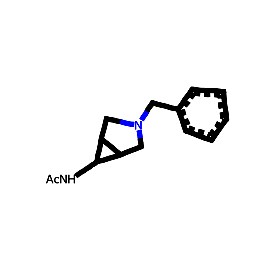 CC(=O)NC1C2CN(Cc3ccccc3)CC21